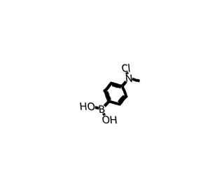 CN(Cl)c1ccc(B(O)O)cc1